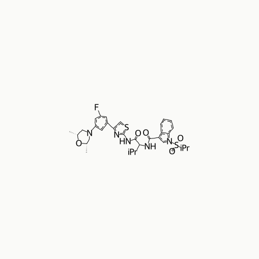 CC(C)C(NC(=O)c1cn(S(=O)(=O)C(C)C)c2ccccc12)C(=O)Nc1nc(-c2cc(F)cc(N3C[C@@H](C)O[C@@H](C)C3)c2)cs1